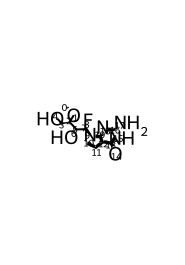 CO[C@H](CO)[C@@H](O)[C@H](F)n1ccc2c(=O)[nH]c(N)nc21